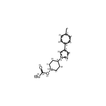 Cc1ccc(-c2cnn(C3CCN(OC(=O)C(C)(C)C)CC3)c2)cc1